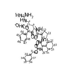 N=C(N)NCCCC(NC(=O)C1CCCN1C(=O)C1C2CCCCC2CCN1C(=O)OCc1ccccc1)C(=O)C(O[C]=O)c1ccccc1